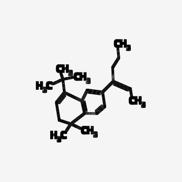 C/C=C(/CCC)c1ccc2c(c1)C(C(C)(C)C)=CCC2(C)C